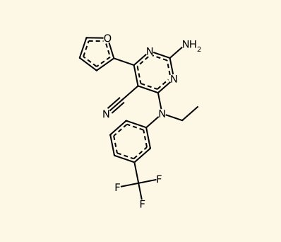 CCN(c1cccc(C(F)(F)F)c1)c1nc(N)nc(-c2ccco2)c1C#N